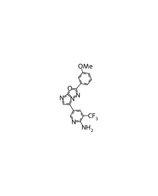 COc1cccc(-c2nn3c(-c4cnc(N)c(C(F)(F)F)c4)cnc3o2)c1